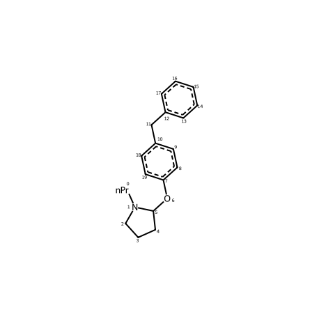 CCCN1CCCC1Oc1ccc(Cc2ccccc2)cc1